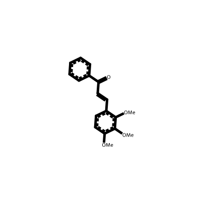 COc1ccc(/C=C/C(=O)c2ccccc2)c(OC)c1OC